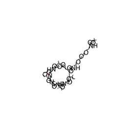 C/C=C(\C)[C@H]1OC(=O)[C@@H](C)NC(=O)[C@H]([C@H](C)CC)NC(=O)CN(C)C(=O)[C@@H](Cc2ccccc2)N(C)C(=O)[C@H](C)NC(=O)[C@@H](CC(C)C)OC(=O)/C(C)=C/C[C@H](OC(=O)NCCCOCCOCCOCCCNC(=O)OC(C)(C)C)[C@@H]1C